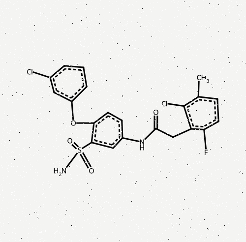 Cc1ccc(F)c(CC(=O)Nc2ccc(Oc3cccc(Cl)c3)c(S(N)(=O)=O)c2)c1Cl